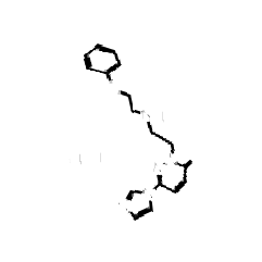 Cl.Cl.O=c1ccc(-n2ccnc2)nn1CCNCCOc1ccccc1